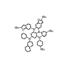 CC(C)(C)c1ccc(N2c3ccc(C(C)(C)C)cc3B3c4cc5cc(C(C)(C)C)oc5cc4N(c4ccc5cc(C(C)(C)C)oc5c4)c4cc(N(c5ccccc5)c5ccc6ccccc6c5)cc2c43)cc1